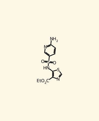 CCOC(=O)c1ncsc1NS(=O)(=O)c1ccc(N)nc1